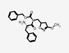 COC1=NOC(CN(C(=O)OCc2ccccc2)C(=O)[C@@H](N)Cc2ccccc2)C1